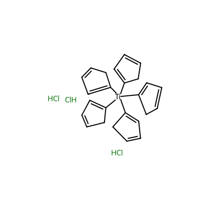 C1=CC[C]([Ti]([C]2=CC=CC2)([C]2=CC=CC2)([C]2=CC=CC2)[C]2=CC=CC2)=C1.Cl.Cl.Cl